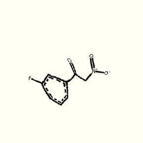 O=C(C[N+](=O)[O-])c1cccc(F)c1